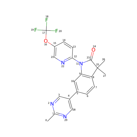 Cc1ncc(-c2ccc3c(c2)N(c2ccc(OC(F)(F)F)cn2)C(=O)C3(C)C)cn1